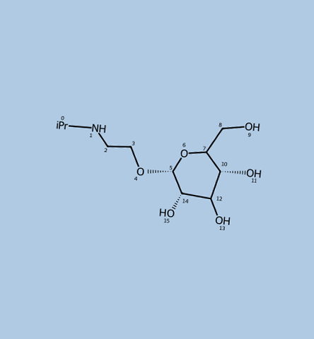 CC(C)NCCO[C@@H]1OC(CO)[C@H](O)C(O)[C@@H]1O